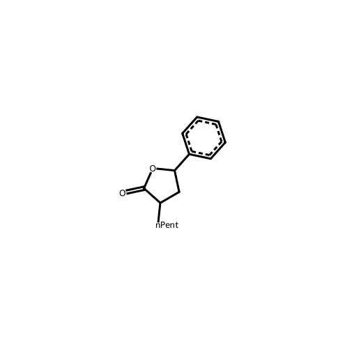 CCCCCC1CC(c2ccccc2)OC1=O